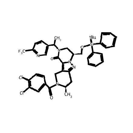 CC(c1ccc(C(F)(F)F)nc1)N1C[C@@H](CO[Si](c2ccccc2)(c2ccccc2)C(C)(C)C)n2nc3c(c2C1=O)CN(C(=O)c1ccc(Cl)c(Cl)c1)[C@H](C)C3